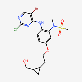 CN(c1cc(OCCC2CC2CO)ccc1Nc1nc(Cl)ncc1Br)S(C)(=O)=O